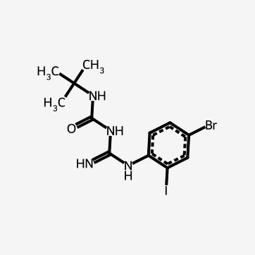 CC(C)(C)NC(=O)NC(=N)Nc1ccc(Br)cc1I